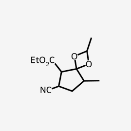 CCOC(=O)C1C(C#N)CC(C)C12OC(C)O2